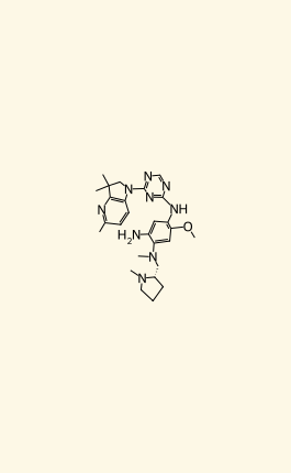 COc1cc(N(C)C[C@@H]2CCCN2C)c(N)cc1Nc1ncnc(N2CC(C)(C)c3nc(C)ccc32)n1